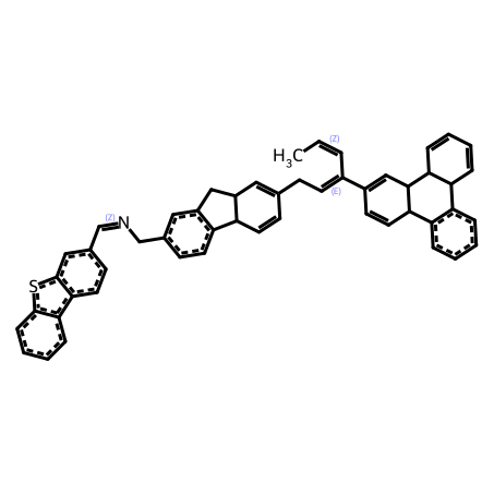 C/C=C\C(=C/CC1=CC2Cc3cc(C/N=C\c4ccc5c(c4)sc4ccccc45)ccc3C2C=C1)C1=CC2C(C=C1)c1ccccc1C1C=CC=CC12